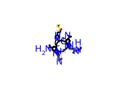 C=C(N)c1cc2c3c(c1)nc(/C=C/C(C)=N\C)n3C/C=C/Cn1c(/C=C/C(C)=N\NCC)nc3cc(C(=C)N)cc(c31)CCC(N1CCC(CCC(C)SC)C1)CC2